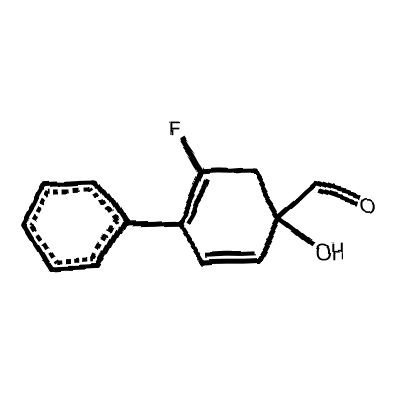 O=CC1(O)C=CC(c2ccccc2)=C(F)C1